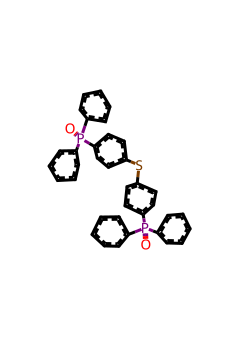 O=P(c1ccccc1)(c1ccccc1)c1ccc(Sc2ccc(P(=O)(c3ccccc3)c3ccccc3)cc2)cc1